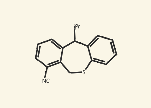 [C-]#[N+]c1cccc2c1CSc1ccccc1C2C(C)C